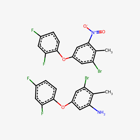 Cc1c(Br)cc(Oc2ccc(F)cc2F)cc1[N+](=O)[O-].Cc1c(N)cc(Oc2ccc(F)cc2F)cc1Br